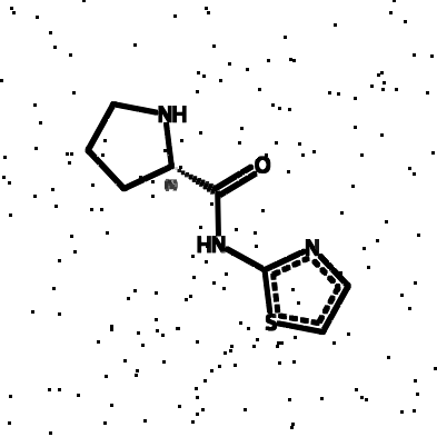 O=C(Nc1nccs1)[C@@H]1CCCN1